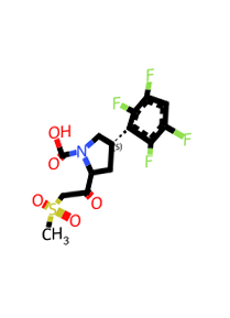 CS(=O)(=O)CC(=O)C1C[C@@H](c2c(F)c(F)cc(F)c2F)CN1C(=O)O